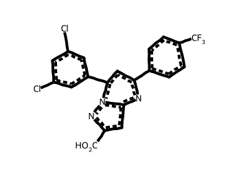 O=C(O)c1cc2nc(-c3ccc(C(F)(F)F)cc3)cc(-c3cc(Cl)cc(Cl)c3)n2n1